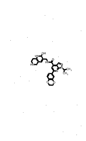 CC(C)n1ncc2c(C(=O)NCC3=CC4=C(CCNC4)NC3O)cc(-c3ccc4c(c3)OCCO4)nc21